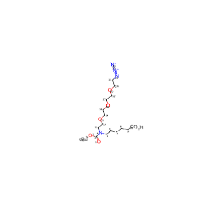 CC(C)(C)OC(=O)N(CCCCCC(=O)O)CCOCCOCCOCCN=[N+]=[N-]